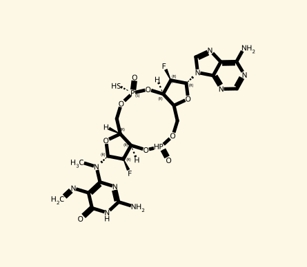 C=Nc1c(N(C)[C@@H]2O[C@@H]3CO[P@](=O)(S)O[C@@H]4C(CO[PH](=O)O[C@H]3[C@H]2F)O[C@@H](n2cnc3c(N)ncnc32)[C@@H]4F)nc(N)[nH]c1=O